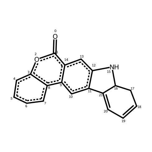 O=c1oc2ccccc2c2cc3c(cc12)NC1CC=CC=C31